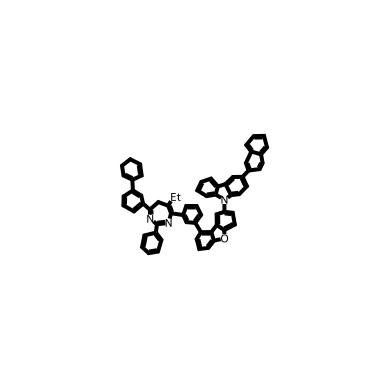 CCC1=C(c2cccc(-c3cccc4oc5ccc(-n6c7ccccc7c7cc(-c8ccc9ccccc9c8)ccc76)cc5c34)c2)N=C(c2ccccc2)N=C(c2cccc(C3=CCCC=C3)c2)C1